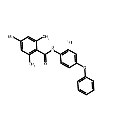 Cc1cc(C(C)(C)C)cc(C)c1C(=O)Pc1ccc(Oc2ccccc2)cc1.[LiH]